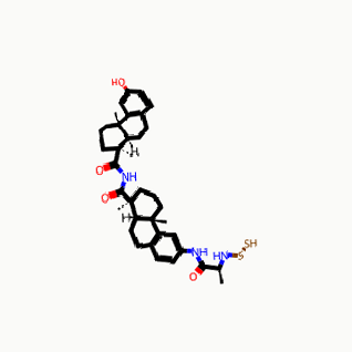 C[C@H](NSS)C(=O)Nc1ccc2c(c1)[C@@]1(C)CCC[C@](C)(C(=O)NC(=O)[C@@]3(C)CCC[C@]4(C)c5cc(O)ccc5CC[C@@H]34)[C@@H]1CC2